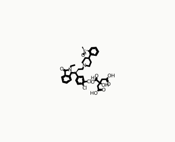 CCN1C(=O)c2ccccc2[C@H]1[C@@H](CCN1CCC(c2ccccc2[S@+](C)[O-])CC1)c1ccc(Cl)c(Cl)c1.O=C(O)CC(O)(CC(=O)O)C(=O)O